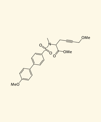 COCC#CCC(C(=O)OC)N(C)S(=O)(=O)c1ccc(-c2ccc(OC)cc2)cc1